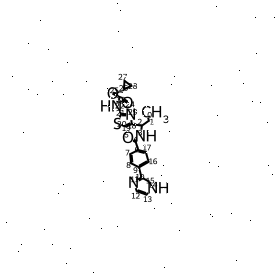 CCC(NC(=O)c1ccc(C2=NC=CNC2)cc1)c1csc(NS(=O)(=O)C2CC2)n1